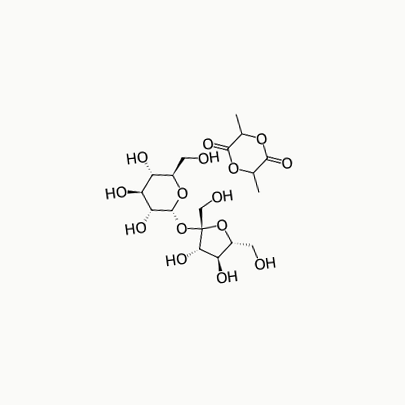 CC1OC(=O)C(C)OC1=O.OC[C@H]1O[C@@](CO)(O[C@H]2O[C@H](CO)[C@@H](O)[C@H](O)[C@H]2O)[C@@H](O)[C@@H]1O